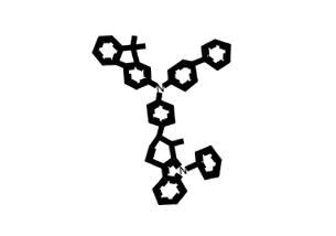 CC1c2c(c3ccccc3n2-c2ccccc2)C=CC1c1ccc(N(c2ccc(-c3ccccc3)cc2)c2ccc3c(c2)C(C)(C)c2ccccc2-3)cc1